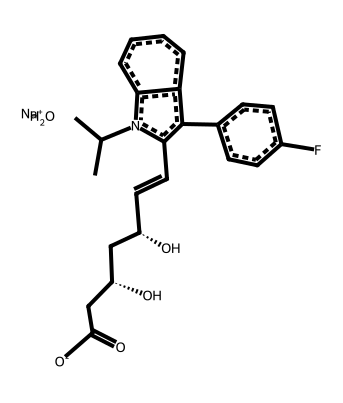 CC(C)n1c(/C=C/[C@H](O)C[C@H](O)CC(=O)[O-])c(-c2ccc(F)cc2)c2ccccc21.O.[Na+]